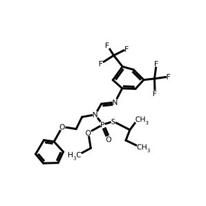 CCOP(=O)(SC(C)CC)N(C=Nc1cc(C(F)(F)F)cc(C(F)(F)F)c1)CCOc1ccccc1